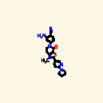 CN1C2=C(SC1c1ccc(N3CCCC3)nc1)C(=O)N(c1ccc(C#N)c(N)c1)CC2